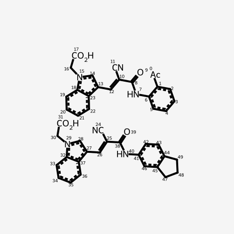 CC(=O)c1ccccc1NC(=O)/C(C#N)=C/c1cn(CC(=O)O)c2ccccc12.N#C/C(=C\c1cn(CC(=O)O)c2ccccc12)C(=O)Nc1ccc2c(c1)CCC2